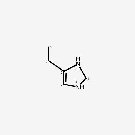 CCC1=CNCN1